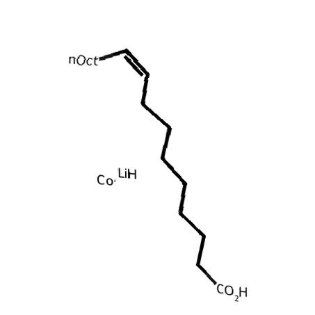 CCCCCCCC/C=C\CCCCCCCC(=O)O.[Co].[LiH]